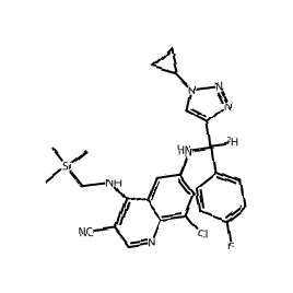 [2H]C(Nc1cc(Cl)c2ncc(C#N)c(NC[Si](C)(C)C)c2c1)(c1ccc(F)cc1)c1cn(C2CC2)nn1